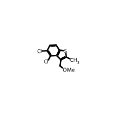 [CH2]OCc1c(C)sc2ccc(Cl)c(Cl)c12